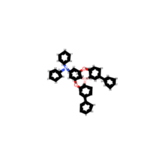 c1ccc(-c2ccc3c(c2)Oc2cc(N(c4ccccc4)c4ccccc4)cc4c2B3c2cc(-c3ccccc3)ccc2O4)cc1